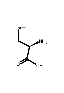 N[C@H](C[SeH])C(=O)O